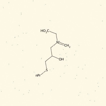 C=[N+](CC(=O)O)CC(O)CSCCC